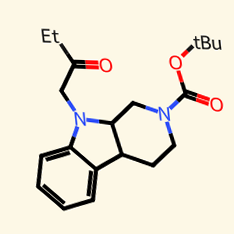 CCC(=O)CN1c2ccccc2C2CCN(C(=O)OC(C)(C)C)CC21